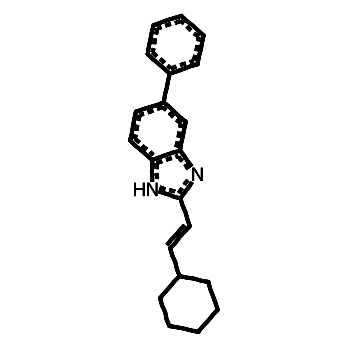 C(=CC1CCCCC1)c1nc2cc(-c3ccccc3)ccc2[nH]1